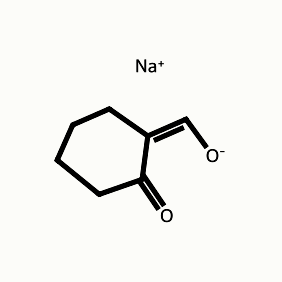 O=C1CCCCC1=C[O-].[Na+]